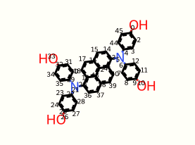 Oc1ccc(N(c2ccc(O)cc2)c2ccc3ccc4c(N(c5ccc(O)cc5)c5ccc(O)cc5)ccc5ccc2c3c54)cc1